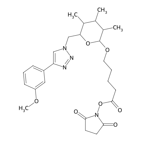 COc1cccc(-c2cn(CC3OC(OCCCCC(=O)ON4C(=O)CCC4=O)C(C)C(C)C3C)nn2)c1